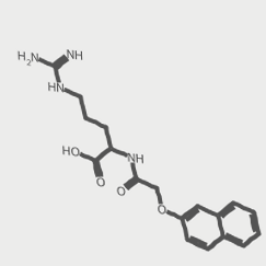 N=C(N)NCCCC(NC(=O)COc1ccc2ccccc2c1)C(=O)O